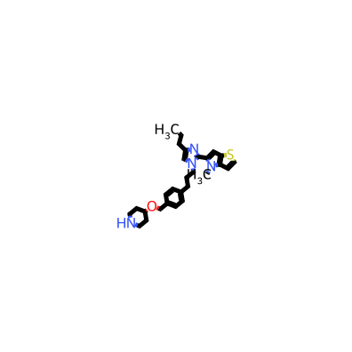 CCCc1cn(CCCc2ccc(COC3CCNCC3)cc2)c(-c2cc3sccc3n2C)n1